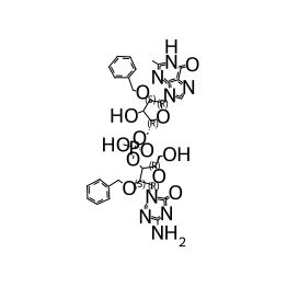 Cc1nc2c(ncn2[C@@H]2O[C@H](COP(=O)(O)OC3[C@@H](CO)O[C@@H](n4cnc(N)nc4=O)[C@H]3OCc3ccccc3)C(O)[C@@H]2OCc2ccccc2)c(=O)[nH]1